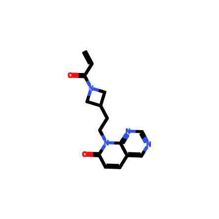 C=CC(=O)N1CC(CCn2c(=O)ccc3cncnc32)C1